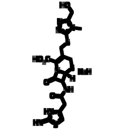 Cn1c(CO)nnc1SCC1=C(C(=O)O)N2C(=O)C(NC(=O)Cc3csc(=N)[nH]3)[C@H]2SC1.[NaH]